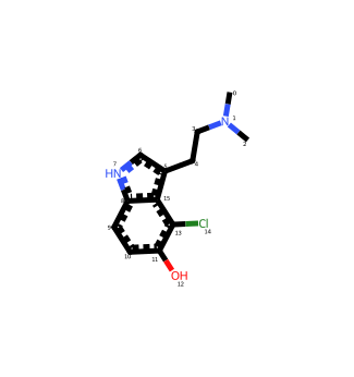 CN(C)CCc1c[nH]c2ccc(O)c(Cl)c12